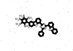 Bc1c(B)c(B)c(-c2ccc3oc4c(-c5nc(-c6ccccc6)nc(-c6cccc7c6oc6ccccc67)n5)cccc4c3c2)c(B)c1B